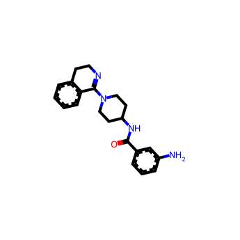 Nc1cccc(C(=O)NC2CCN(C3=NCCc4ccccc43)CC2)c1